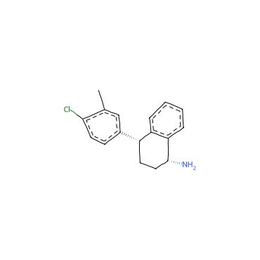 Cc1cc([C@H]2CC[C@@H](N)c3ccccc32)ccc1Cl